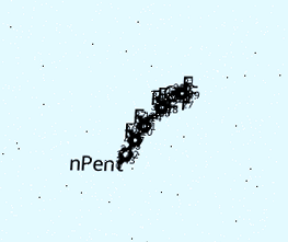 CCCCCC1CCC(c2ccc(-c3ccc(CCc4cc(F)c(C(F)(F)Oc5cc(F)c(F)c(F)c5)c(F)c4)c(F)c3)c(F)c2)CC1